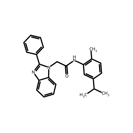 Cc1ccc(C(C)C)cc1NC(=O)Cn1c(-c2ccccc2)nc2ccccc21